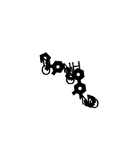 Cc1cc(-c2cccc3c2OCN3Nc2ccc(C(=O)N3CCCC3)c(C)c2)ccc1CN1CCOCC1